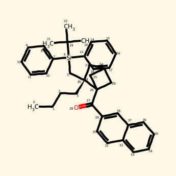 CCCC[C@@]1(C[Si](c2ccccc2)(c2ccccc2)C(C)(C)C)CC2CC1(C(=O)c1ccc3ccccc3c1)C2